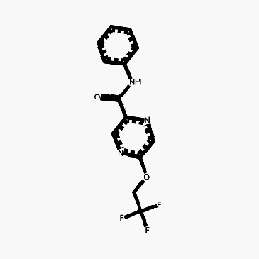 O=C(Nc1ccccc1)c1cnc(OCC(F)(F)F)cn1